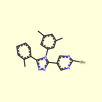 Cc1cc(C)cc(-n2c(-c3cnc(C(C)(C)C)nc3)nnc2-c2ccccc2C)c1